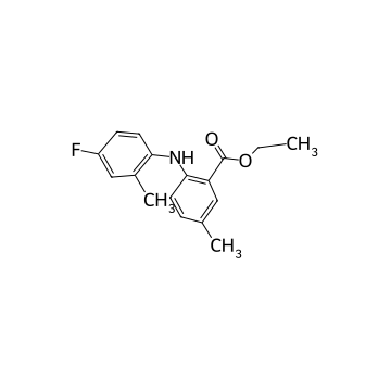 CCOC(=O)c1cc(C)ccc1Nc1ccc(F)cc1C